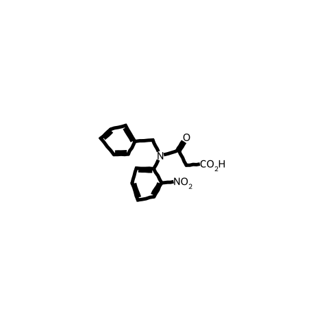 O=C(O)CC(=O)N(Cc1ccccc1)c1ccccc1[N+](=O)[O-]